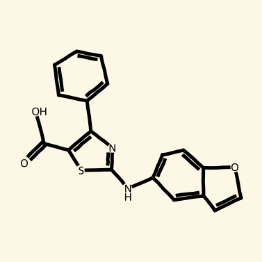 O=C(O)c1sc(Nc2ccc3occc3c2)nc1-c1ccccc1